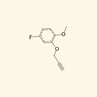 C#CCOc1cc(F)ccc1OC